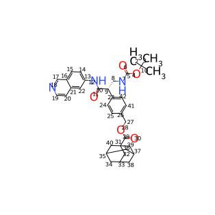 CC(C)(C)OC(=O)NC[C@@H](C(=O)Nc1ccc2cnccc2c1)c1ccc(COC(=O)C23CC4CC(CC(C4)C2)C3)cc1